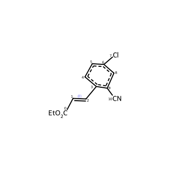 CCOC(=O)/C=C/c1ccc(Cl)cc1C#N